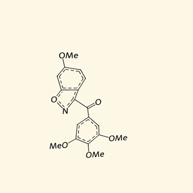 COc1ccc2c(C(=O)c3cc(OC)c(OC)c(OC)c3)noc2c1